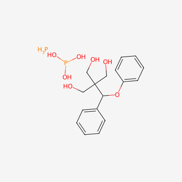 OCC(CO)(CO)C(Oc1ccccc1)c1ccccc1.OP(O)O.P